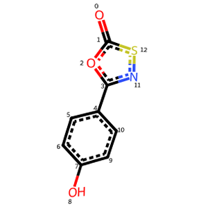 O=c1oc(-c2ccc(O)cc2)ns1